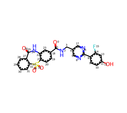 O=C(NCc1cnc(-c2ccc(O)cc2F)nc1)c1ccc2c(c1)NC(=O)c1ccccc1S2(=O)=O